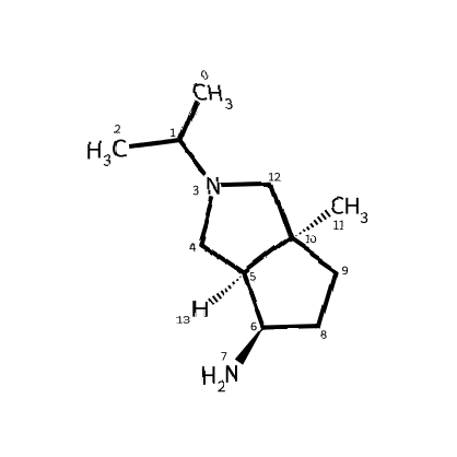 CC(C)N1C[C@@H]2[C@H](N)CC[C@]2(C)C1